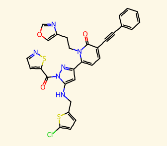 O=C(c1ccns1)n1nc(-c2ccc(C#Cc3ccccc3)c(=O)n2CCc2cocn2)cc1NCc1ccc(Cl)s1